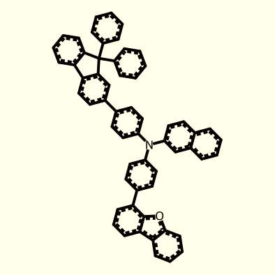 c1ccc(C2(c3ccccc3)c3ccccc3-c3ccc(-c4ccc(N(c5ccc(-c6cccc7c6oc6ccccc67)cc5)c5ccc6ccccc6c5)cc4)cc32)cc1